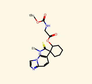 CCNC(=S)C1(c2ccc3nccn3c2)CCCCC1OC(=O)CNC(=O)OC(C)(C)C